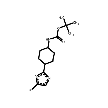 CC(C)(C)OC(=O)NC1CCC(c2ncc(Br)s2)CC1